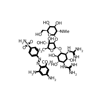 CN[C@@H]1[C@H](O[C@H]2[C@H](O[C@H]3[C@H](O)[C@@H](O)[C@H](NC(=N)N)[C@@H](O)[C@@H]3NC(=N)N)O[C@@H](C)[C@]2(O)C=O)O[C@@H](CO)[C@H](O)[C@H]1O.Nc1cc(N)c(/N=N/c2ccc(S(N)(=O)=O)cc2)c(C(=O)O)c1